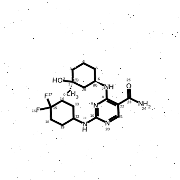 C[C@]1(O)CCC[C@@H](Nc2nc(NC3CCC(F)(F)CC3)ncc2C(N)=O)C1